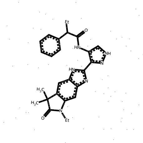 CCC(C(=O)Nc1c[nH]nc1-c1nc2cc3c(cc2[nH]1)C(C)(C)C(=O)N3CC)c1ccccc1